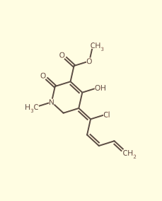 C=C/C=C\C(Cl)=C1/CN(C)C(=O)C(C(=O)OC)=C1O